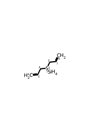 C=CCSCC=C.[SiH4]